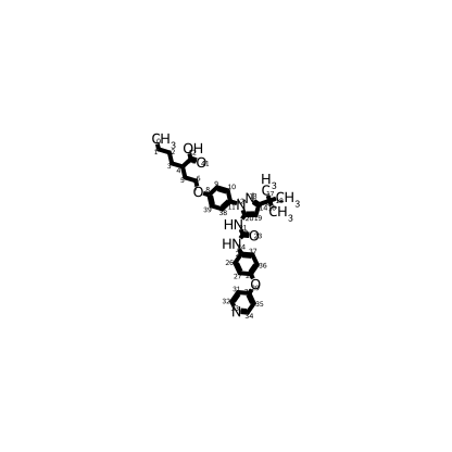 CCCCC(CCOc1ccc(-n2nc(C(C)(C)C)cc2NC(=O)Nc2ccc(Oc3ccncc3)cc2)cc1)C(=O)O